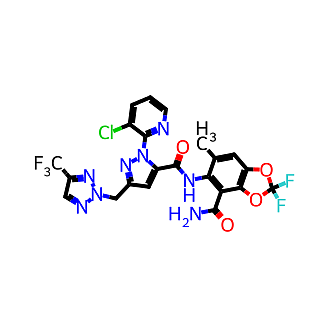 Cc1cc2c(c(C(N)=O)c1NC(=O)c1cc(Cn3ncc(C(F)(F)F)n3)nn1-c1ncccc1Cl)OC(F)(F)O2